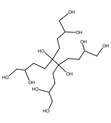 OCC(O)CCC(O)(CCC(O)CO)C(O)(CCC(O)CO)CCC(O)CO